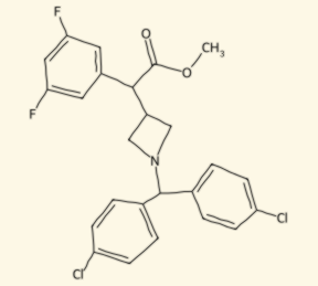 COC(=O)C(c1cc(F)cc(F)c1)C1CN(C(c2ccc(Cl)cc2)c2ccc(Cl)cc2)C1